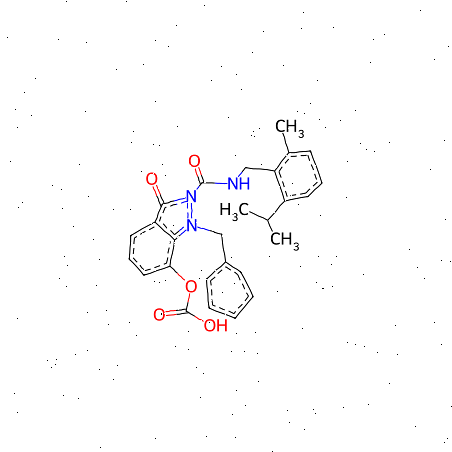 Cc1cccc(C(C)C)c1CNC(=O)n1c(=O)c2cccc(OC(=O)O)c2n1Cc1ccccc1